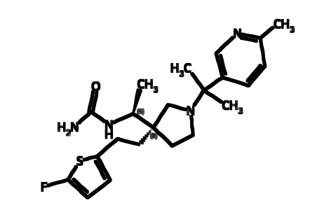 Cc1ccc(C(C)(C)N2CC[C@@](CCc3ccc(F)s3)([C@H](C)NC(N)=O)C2)cn1